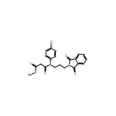 CC(C)(C)OC(=O)CC(=O)N(CCCN1C(=O)c2ccccc2C1=O)c1ccc(Cl)cc1